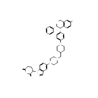 O=C1CCC(n2ncc3cc(N4CCN(CC5CCN(c6ccc([C@@H]7c8ccc(O)cc8CO[C@@H]7c7ccccc7)cc6)CC5)CC4)ccc32)C(=O)N1